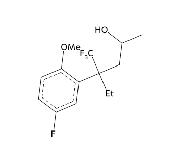 CCC(CC(C)O)(c1cc(F)ccc1OC)C(F)(F)F